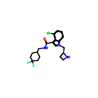 O=C(NCC1CCC(F)(F)CC1)c1cn(C[C@@H]2CCN2)c2cccc(Cl)c12